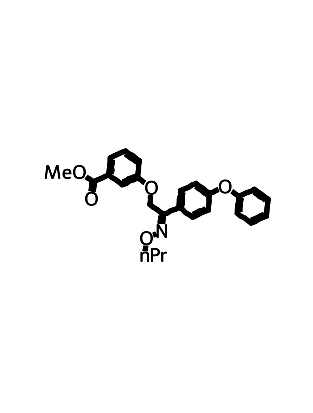 CCCO/N=C(\COc1cccc(C(=O)OC)c1)c1ccc(Oc2ccccc2)cc1